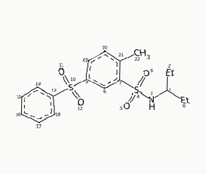 CCC(CC)NS(=O)(=O)c1cc(S(=O)(=O)c2ccccc2)ccc1C